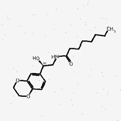 CCCCCCCC(=O)NC[C@H](O)c1ccc2c(c1)OCCO2